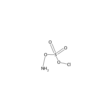 NOS(=O)(=O)OCl